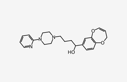 OC(CCCN1CCN(c2ccccn2)CC1)c1ccc2c(c1)OC=CCO2